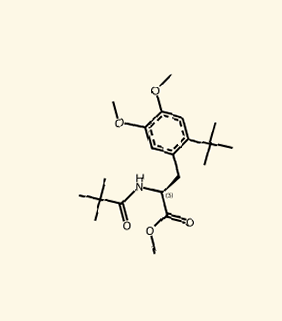 COC(=O)[C@H](Cc1cc(OC)c(OC)cc1C(C)(C)C)NC(=O)C(C)(C)C